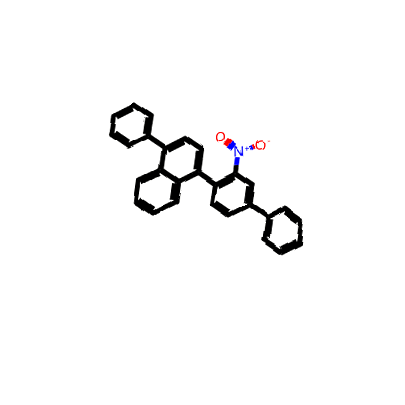 O=[N+]([O-])c1cc(-c2ccccc2)ccc1-c1ccc(-c2ccccc2)c2ccccc12